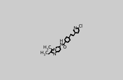 CCc1nc2ccc(NC(=O)c3ccc(C=Cc4ccc(Cl)nc4)cc3)cn2c1C